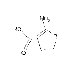 NC1=CCCC1.O=CO